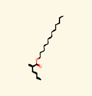 C=CC=CC(=C)C(=O)OCCCCCCCCCCCCC